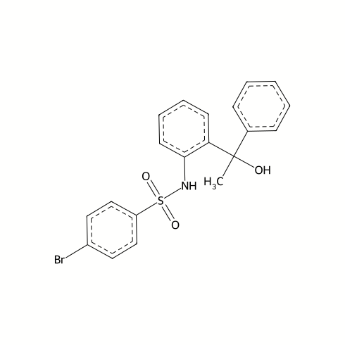 CC(O)(c1ccccc1)c1ccccc1NS(=O)(=O)c1ccc(Br)cc1